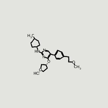 COCCc1ccc(-c2cnc(NC3CCC(C)CC3)nc2O[C@@H]2CCOC2)cc1.Cl